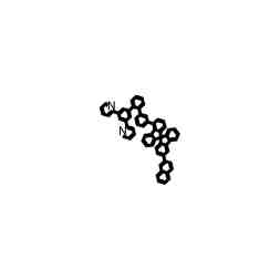 c1ccc(-c2cc(-c3ccccn3)cc(-c3ccccc3-c3cccc(-c4cccc5c4-c4ccccc4C54c5ccccc5-c5cc(-c6ccc7ccccc7c6)ccc54)c3)c2)nc1